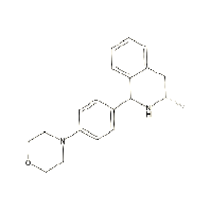 C[C@H]1Cc2ccccc2C(c2ccc(N3CCOCC3)cc2)N1